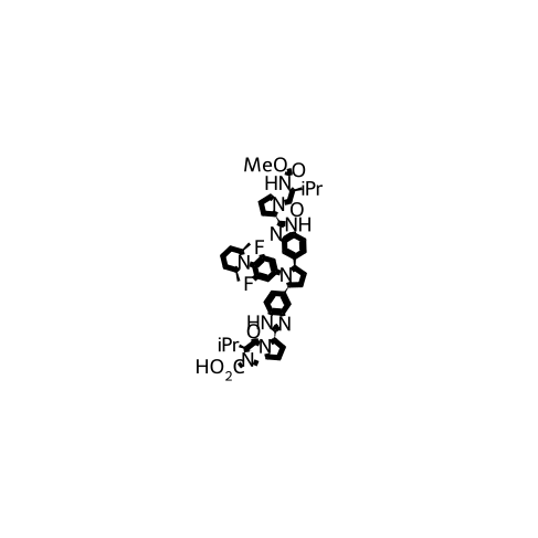 COC(=O)N[C@H](C(=O)N1CCC[C@H]1c1nc2cc([C@H]3CC[C@H](c4ccc5[nH]c([C@@H]6CCCN6C(=O)[C@H](C(C)C)N(C)C(=O)O)nc5c4)N3c3cc(F)c(N4[C@H](C)CCC[C@@H]4C)c(F)c3)ccc2[nH]1)C(C)C